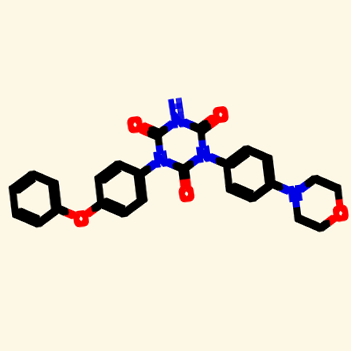 O=c1[nH]c(=O)n(-c2ccc(N3CCOCC3)cc2)c(=O)n1-c1ccc(Oc2ccccc2)cc1